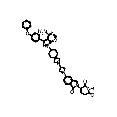 Nc1ncnc2c1c(-c1ccc(Oc3ccccc3)cc1)nn2C1CCC2(CC1)CN(C1CN(c3ccc4c(c3)CN([C@H]3CCC(=O)NC3=O)C4=O)C1)C2